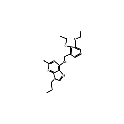 CCCn1cnc2c(NCc3cccc(OCC)c3OCC)nc(Cl)nc21